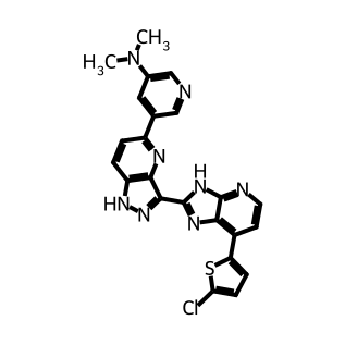 CN(C)c1cncc(-c2ccc3[nH]nc(-c4nc5c(-c6ccc(Cl)s6)ccnc5[nH]4)c3n2)c1